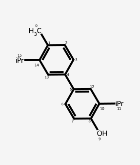 Cc1ccc(-c2ccc(O)c(C(C)C)c2)cc1C(C)C